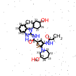 C=CC(=O)Nc1cc(C(=O)NC2Nc3cccc(C)c3N2[C@H]2CC[C@H](O)CC2)sc1N1CCCC[C@H](O)C1